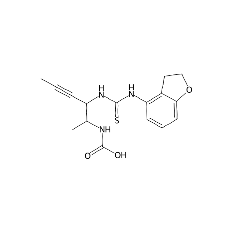 CC#CC(NC(=S)Nc1cccc2c1CCO2)C(C)NC(=O)O